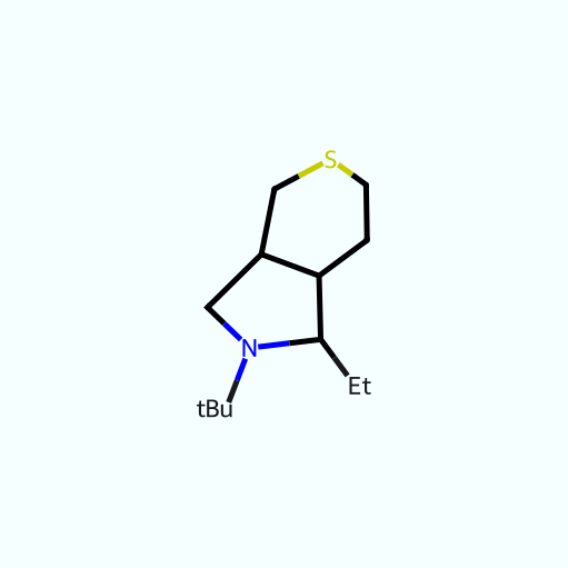 CCC1C2CCSCC2CN1C(C)(C)C